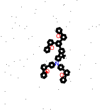 CC1(C)c2ccc(-c3cc(-c4cccc5c4oc4ccccc45)cc(-c4cccc5c4oc4ccccc45)c3)cc2-c2ccc(N(c3ccc(-c4cccc5c4oc4ccccc45)cc3)c3ccc(-c4cccc5c4oc4ccccc45)cc3)cc21